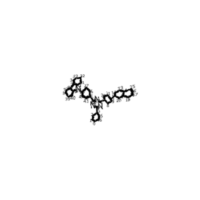 c1ccc(-c2nc(-c3ccc(-c4ccc5ccccc5c4)cc3)nc(-c3ccc(-n4c5ccccc5c5ccccc54)cc3)n2)cc1